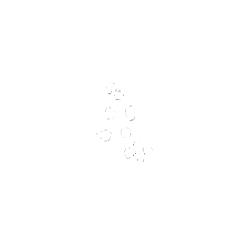 C=Cc1cc(-c2cc(-c3cccc(-c4nc5ccccn5c4-c4ccccc4)c3)cc(-c3cc(C)nc(C)c3)c2)c2cccnc2c1N=C